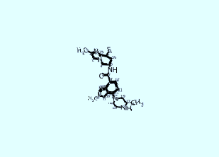 Cc1cn2cc(NC(=O)c3ccc(N4CCN[C@@H](C)C4)c4cn(C)nc34)cc(F)c2n1